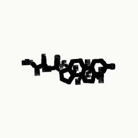 CCCCNC(=S)NC(=O)[C@H]1CC[C@H]2[C@@H]3CC[C@H]4NC(=O)CC[C@]4(C)[C@H]3CC[C@]12C